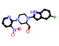 O=CC1CN(c2ncccc2[N+](=O)[O-])CCN1c1cc2cc(F)ccc2[nH]1